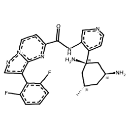 C[C@H]1C[C@H](N)C[C@@](N)(c2ccncc2NC(=O)c2ccn3ncc(-c4c(F)cccc4F)c3n2)C1